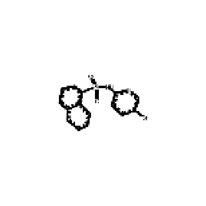 O=S(=O)(Nc1ccc(Br)cn1)c1cccc2ccccc12